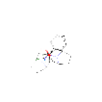 O=C(N1C2CCC1CC(c1ccc(F)cc1)C2)N1C2CCC1CC(O)(C(F)(F)F)C2